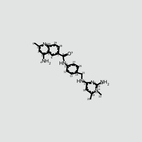 Cc1cc(N)c2cc(C(=O)Nc3ccc(CNc4cc(C)[n+](C)c(N)n4)cc3)ccc2n1